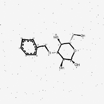 OC[C@@H]1O[C@@H](O)[C@@H](O)[C@H](OCc2ccccc2)[C@H]1O